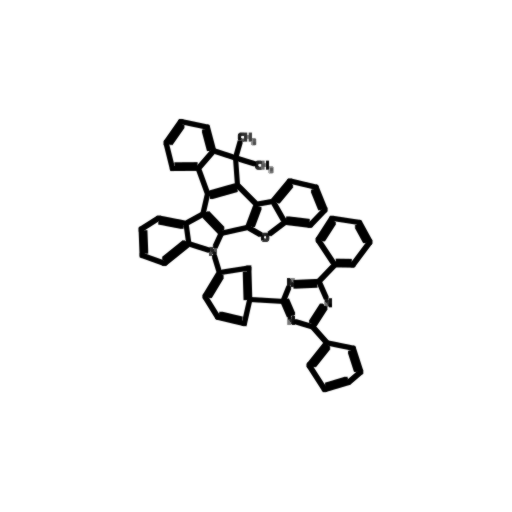 CC1(C)c2ccccc2-c2c1c1c3ccccc3oc1c1c2c2ccccc2n1-c1cccc(-c2nc(-c3ccccc3)nc(-c3ccccc3)n2)c1